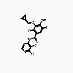 COc1c(F)cc(C(=O)Nc2ccnc(Cl)c2Cl)c(F)c1OCC1CC1